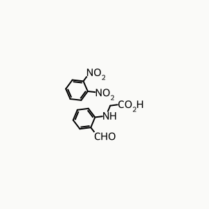 O=Cc1ccccc1NCC(=O)O.O=[N+]([O-])c1ccccc1[N+](=O)[O-]